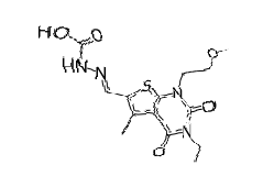 CCn1c(=O)c2c(C)c(C=NNC(=O)O)sc2n(CCOC)c1=O